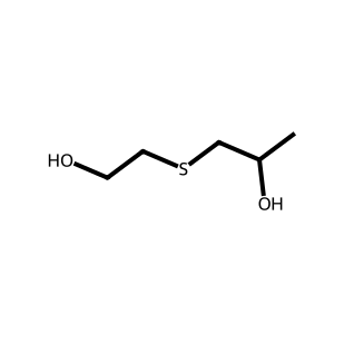 CC(O)CSCCO